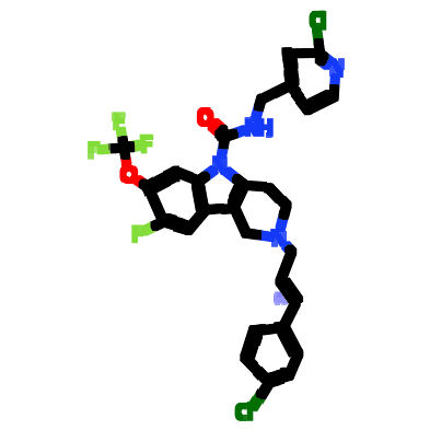 O=C(NCc1ccnc(Cl)c1)n1c2c(c3cc(F)c(OC(F)(F)F)cc31)CN(C/C=C/c1ccc(Cl)cc1)CC2